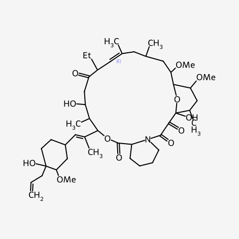 C=CCC1(O)CCC(C=C(C)C2OC(=O)C3CCCCN3C(=O)C(=O)C3(O)OC(C(OC)CC(C)C/C(C)=C/C(CC)C(=O)CC(O)C2C)C(OC)CC3C)CC1OC